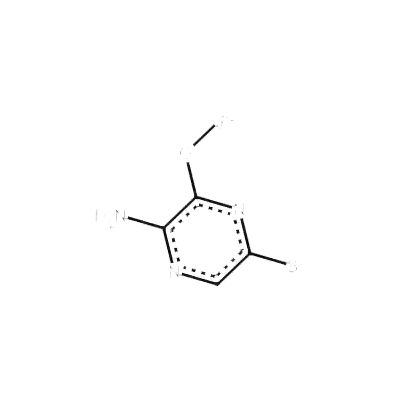 CC(C)Oc1nc(Br)cnc1N